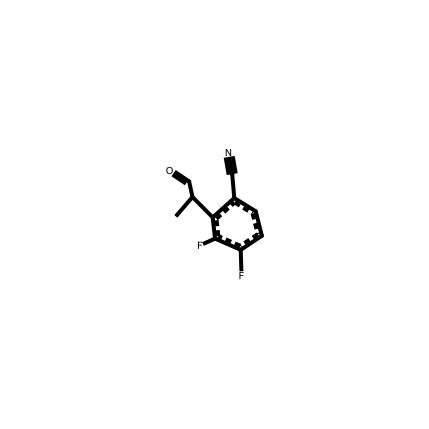 CC(C=O)c1c(C#N)ccc(F)c1F